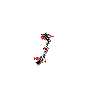 CC(C)(CCCCO[N+](=O)OCCCCC(C)(C)c1cc(O)c([C@@H]2CC(=O)[C@@H]3C[C@@H]2C3(C)C)c(O)c1)c1cc(O)c([C@@H]2CC(=O)[C@@H]3C[C@@H]2C3(C)C)c(O)c1